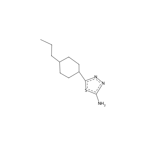 CCCC1CCC(c2nnc(N)s2)CC1